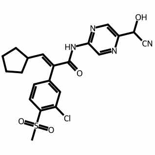 CS(=O)(=O)c1ccc(/C(=C\C2CCCC2)C(=O)Nc2cnc(C(O)C#N)cn2)cc1Cl